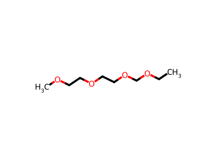 CCOCOCCOCCOC